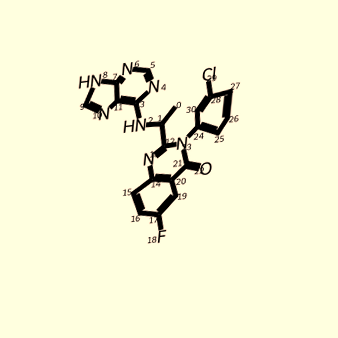 CC(Nc1ncnc2[nH]cnc12)c1nc2ccc(F)cc2c(=O)n1-c1cccc(Cl)c1